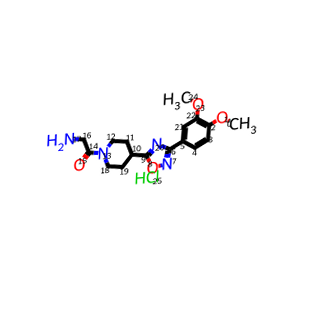 COc1ccc(-c2noc(C3CCN(C(=O)CN)CC3)n2)cc1OC.Cl